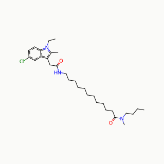 CCCCN(C)C(=O)CCCCCCCCCCCNC(=O)Cc1c(C)n(CC)c2ccc(Cl)cc12